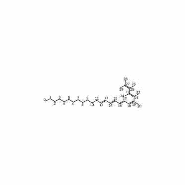 CCCCCCCCCCCCC=CC=CC=CC=C(C)C(C)=C(C)C(C)=C(C)C